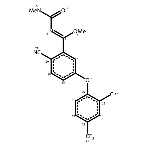 CNC(=O)N=C(OC)c1cc(Oc2ccc(C(F)(F)F)cc2Cl)ccc1C#N